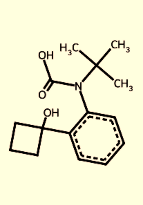 CC(C)(C)N(C(=O)O)c1ccccc1C1(O)CCC1